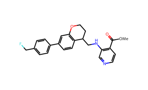 COC(=O)c1ccncc1NCC1CCOc2cc(-c3ccc(CF)cc3)ccc21